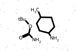 CC(C)(C)OC(N)=O.CC1CCC(N)CC1